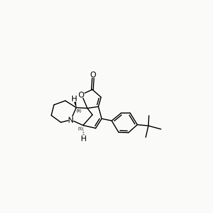 CC(C)(C)c1ccc(C2=C[C@@H]3CC4(OC(=O)C=C24)[C@H]2CCCCN32)cc1